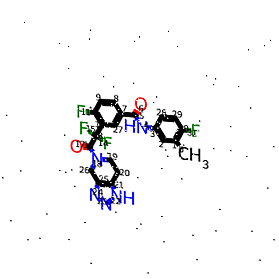 Cc1cc(NC(=O)c2ccc(F)c(C(F)(F)C(=O)N3CCc4[nH]nnc4C3)c2)ccc1F